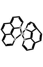 C1=C[N]2c3c4c(ccc3=C1)=CC=C[N]4[Pd]21[N]2C=CC=c3ccc4c(c32)[N]1C=CC=4